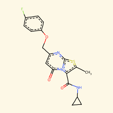 Cc1sc2nc(COc3ccc(F)cc3)cc(=O)n2c1C(=O)NC1CC1